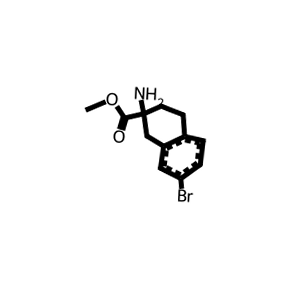 COC(=O)C1(N)CCc2ccc(Br)cc2C1